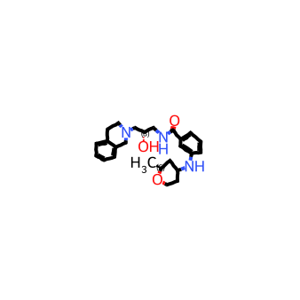 C[C@H]1CC(Nc2cccc(C(=O)NC[C@H](O)CN3CCc4ccccc4C3)c2)CCO1